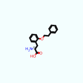 N[C@H](Cc1ccccc1OCCc1ccccc1)C(=O)O